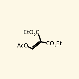 CCOC(=O)C(=COC(C)=O)C(=O)OCC